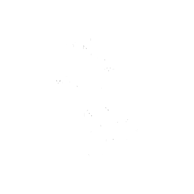 CCCN(CCC)C(=O)Oc1c(OC)cc(-c2nc(-c3cccs3)c(-c3ccccc3)[nH]2)cc1OC